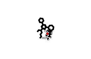 CCCCC(CC)c1cc(C2CCCCC2)cc(C2CCCCCC2)c1OS(=O)(=O)C(F)(F)C(F)(F)C(F)S(=O)(=O)O